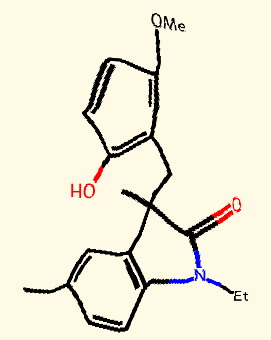 CCN1C(=O)C(C)(Cc2cc(OC)ccc2O)c2cc(C)ccc21